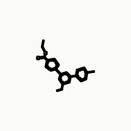 CCOC(=O)c1ccc(-c2cc(CC)cc(-c3ccc(C)cc3)c2)cc1